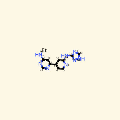 CCNc1cc(-c2ccnc(Nc3nc[nH]n3)c2)ncn1